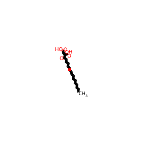 CCCCCCCCCCCCCCCCCC(=O)C(=CC(=O)O)C(=O)O